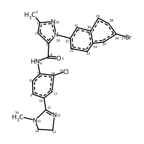 Cc1cc(C(=O)Nc2ccc(C3=NCCN3C)cc2Cl)n(-c2ccc3cc(Br)ccc3c2)n1